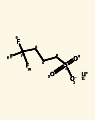 O=S(=O)([O-])CCCC(F)(F)F.[Li+]